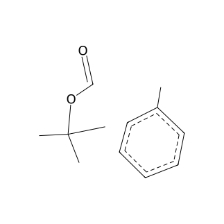 CC(C)(C)OC=O.Cc1ccccc1